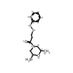 BC1CN(C(=O)CCSSc2ccccn2)CC(C)O1